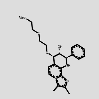 COCCOCCO[C@@H]1c2ccn3c(C)c(C)nc3c2N[C@H](c2ccccc2)[C@H]1O